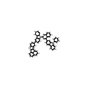 C1=Cc2c(c3cc(-c4ccc5oc6c(c5c4)-c4cccc5cccc-6c45)ccc3n2-c2nc(-c3ccc4c5ccccc5n(-c5ccccc5)c4c3)c3ccccc3n2)CC1